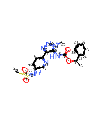 C[C@@H](OC(=O)Nc1c(-c2ccc(NS(C)(=O)=O)cn2)nnn1C)c1ccccc1